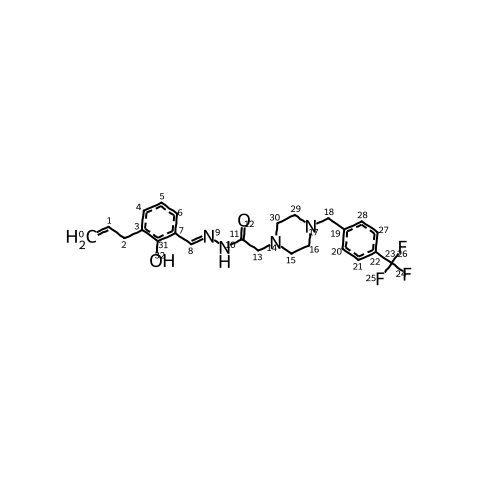 C=CCc1cccc(/C=N/NC(=O)CN2CCN(Cc3ccc(C(F)(F)F)cc3)CC2)c1O